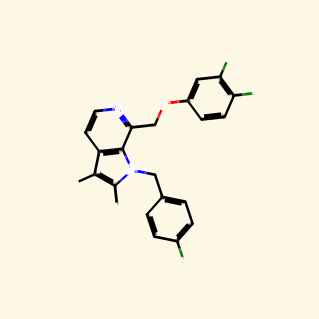 Cc1c(C)n(Cc2ccc(F)cc2)c2c(COc3ccc(Cl)c(Cl)c3)nccc12.Cl